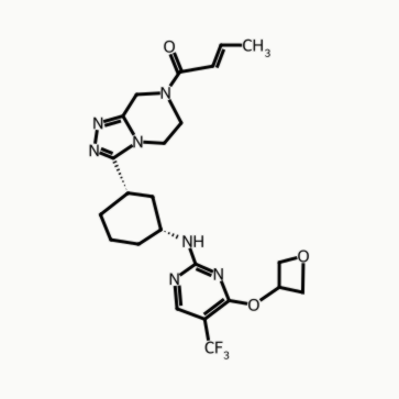 C/C=C/C(=O)N1CCn2c(nnc2[C@H]2CCC[C@@H](Nc3ncc(C(F)(F)F)c(OC4COC4)n3)C2)C1